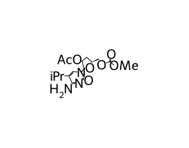 COC(=O)OC[C@@H]1C[C@@H](OC(C)=O)[C@H](n2cc(C(C)C)c(N)nc2=O)O1